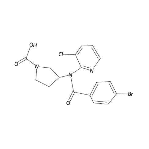 O=C(O)N1CCC(N(C(=O)c2ccc(Br)cc2)c2ncccc2Cl)C1